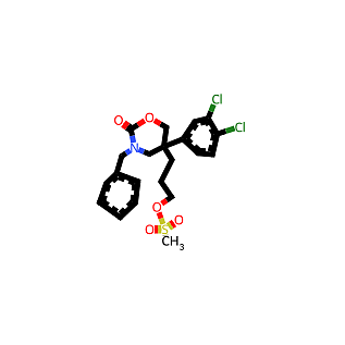 CS(=O)(=O)OCCCC1(c2ccc(Cl)c(Cl)c2)COC(=O)N(Cc2ccccc2)C1